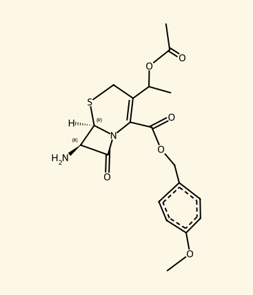 COc1ccc(COC(=O)C2=C(C(C)OC(C)=O)CS[C@@H]3[C@H](N)C(=O)N23)cc1